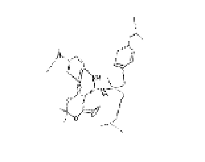 CC(C)CCCC(C)(Cc1ccc(CC(C)C)cc1)NC(Nc1ccc(N(C)C)cc1)=C1C(=O)OC(C)(C)OC1=O